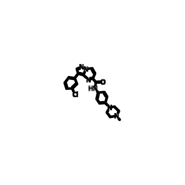 CN1CCN(c2ccc(NC(=O)c3ccn4ncc(-c5cccc(Cl)c5)c4n3)cc2)CC1